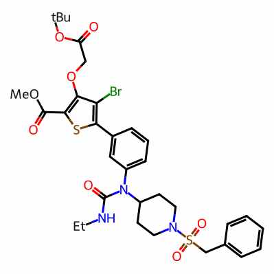 CCNC(=O)N(c1cccc(-c2sc(C(=O)OC)c(OCC(=O)OC(C)(C)C)c2Br)c1)C1CCN(S(=O)(=O)Cc2ccccc2)CC1